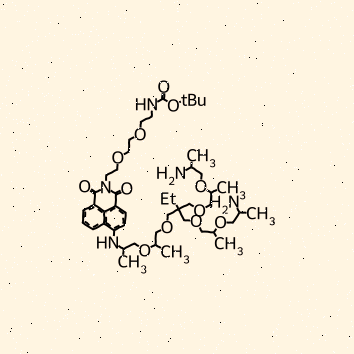 CCC(COCC(C)OCC(C)N)(COCC(C)OCC(C)N)COCC(C)OCC(C)Nc1ccc2c3c(cccc13)C(=O)N(CCOCCOCCNC(=O)OC(C)(C)C)C2=O